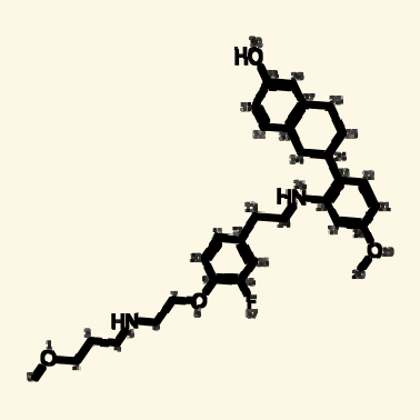 COCCCNCCOc1ccc(CCNc2cc(OC)ccc2C2CCc3cc(O)ccc3C2)cc1F